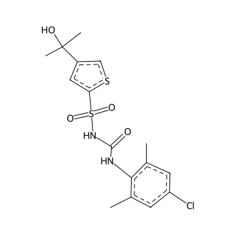 Cc1cc(Cl)cc(C)c1NC(=O)NS(=O)(=O)c1cc(C(C)(C)O)cs1